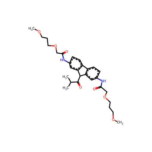 COCCCOCC(=O)Nc1ccc2c(c1)C(C(=O)C(C)C)c1cc(NC(=O)COCCCOC)ccc1-2